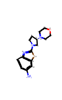 Nc1ccc2nc(N3CC[C@H](N4CCOCC4)C3)sc2c1